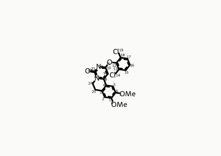 COc1cc2c(cc1OC)-c1cc(Oc3c(Cl)cccc3Cl)nc(=O)n1CC2